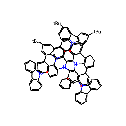 CC(C)(C)C1=CC(C2=CCCC=C2)C(N2c3cc(-n4c5ccccc5c5ccccc54)ccc3N3c4ccc(-n5c6ccccc6c6ccccc65)cc4N(C4=C(C5=CC=CC(C6C=CC=CC6)C5)CCC=C4C4C=CC=C(C5=CC=CCC5)C4)c4cc(-n5c6ccc(C(C)(C)C)cc6c6cc(C(C)(C)C)ccc65)cc2c43)C(C2=CC=CCC2)=C1